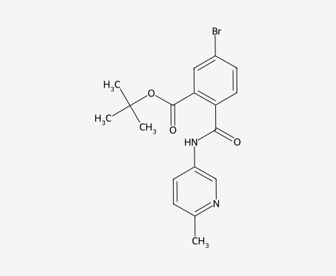 Cc1ccc(NC(=O)c2ccc(Br)cc2C(=O)OC(C)(C)C)cn1